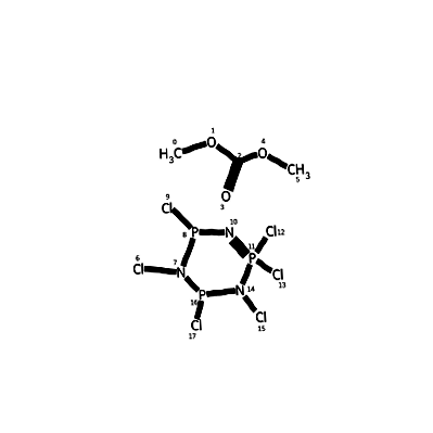 COC(=O)OC.ClN1P(Cl)N=P(Cl)(Cl)N(Cl)P1Cl